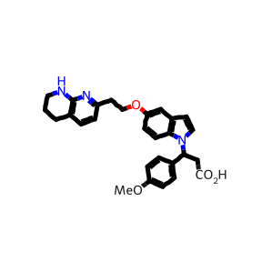 COc1ccc(C(CC(=O)O)n2ccc3cc(OCCc4ccc5c(n4)NCCC5)ccc32)cc1